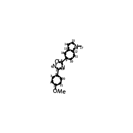 COc1ccc(-c2noc(-c3ccc4c(ccn4C)c3)n2)cc1